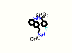 CC(C)C(NC=O)c1ccc(F)cc1.O=CNCCc1ccc2ccccc2c1